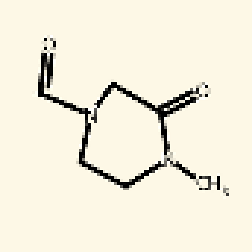 CN1CCN([C]=O)CC1=O